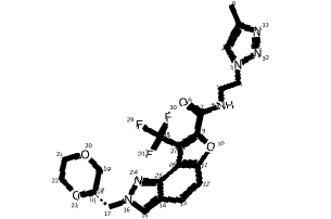 Cc1cn(CCNC(=O)c2oc3ccc4cn(C[C@H]5COCCO5)nc4c3c2C(F)(F)F)nn1